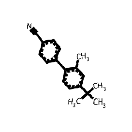 Cc1cc(C(C)(C)C)ccc1-c1ccc(C#N)cc1